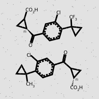 CC1(c2ccc(C(=O)C3C[C@@H]3C(=O)O)cc2Cl)CC1.O=C(O)C1C[C@@H]1C(=O)c1ccc(C2(C(F)(F)F)CC2)c(Cl)c1